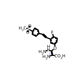 CS(=O)(=O)c1ccc(C#Cc2cc(O/C(NN)=C(/N)C(=O)O)ccc2F)cc1